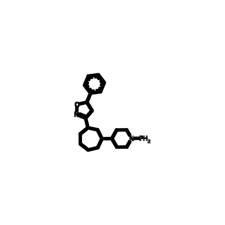 PN1CCC(C2CCCCC(C3=NOC(c4ccccc4)C3)C2)CC1